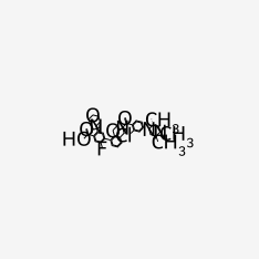 C[C@@H]1CN(C)[C@@H](C)CN1c1ccc(C(=O)N2COc3c(cccc3-c3cc(N4C5CCC4COC5)c(C(=O)O)cc3F)C2)c(Cl)c1